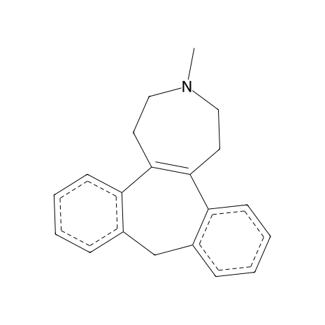 CN1CCC2=C(CC1)c1ccccc1Cc1ccccc12